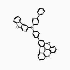 c1ccc(-c2ccc(N(c3ccc(-c4cc5c6c(c4)c4cccc7c4n6-c4c(cccc4O5)O7)cc3)c3ccc4oc5ccccc5c4c3)cc2)cc1